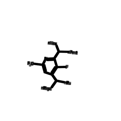 CCCCCCCC(CCCC)c1cc(C(F)(F)F)nc(C(CCCCC)CCCCCC)c1F